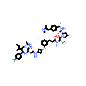 Cc1ncsc1-c1ccc([C@H](C)NC(=O)[C@@H]2C[C@@H](O)CN2C(=O)[C@@H](NC(=O)CCc2cc(F)cc(O[C@H]3C[C@H](NC(=O)C[C@@H]4N=C(c5ccc(Cl)cc5)c5c(sc(C)c5C)-n5c(C)nnc54)C3)c2)C(C)C)cc1